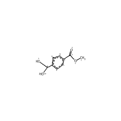 COC(=O)c1ccc(C(O)O)cn1